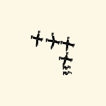 F[B-](F)(F)F.F[B-](F)(F)F.F[B-](F)(F)F.F[B-](F)(F)F.[Pb+2].[Pb+2]